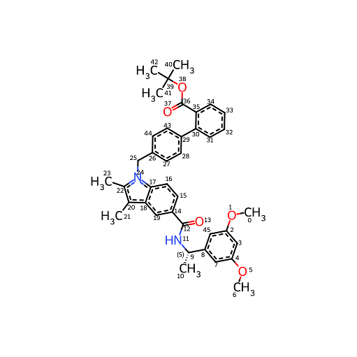 COc1cc(OC)cc([C@H](C)NC(=O)c2ccc3c(c2)c(C)c(C)n3Cc2ccc(-c3ccccc3C(=O)OC(C)(C)C)cc2)c1